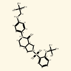 O=C1C2CN(S(=O)(=O)c3ccccc3OC(F)(F)F)CC2CCN1c1ccc(OCC(F)(F)F)cc1